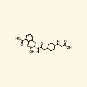 O=C(O)CNC1CCC(CC(=O)N[C@H]2Cc3cccc(C(=O)O)c3OB2O)CC1